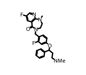 CNCCC(Oc1ccc(CN2CCN(C)c3ncc(F)cc3C2=O)c(F)c1)c1ccccc1